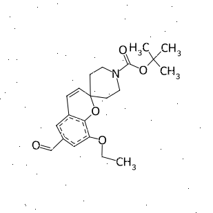 CCOc1cc(C=O)cc2c1OC1(C=C2)CCN(C(=O)OC(C)(C)C)CC1